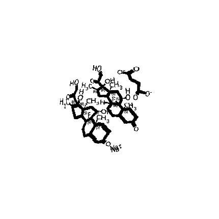 C[C@@H]1CC2C3CCC4=CC(=O)C=C[C@]4(C)[C@@]3(F)[C@@H](O)C[C@]2(C)[C@@]1(O)C(=O)CO.C[C@@H]1CC2[C@H]3CCC4=CC(=O)C=C[C@]4(C)[C@@]3(F)[C@@H](O)C[C@]2(C)[C@@]1(O)C(=O)CO.O=C([O-])CCC(=O)[O-].[Na+].[Na+]